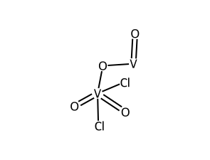 [O]=[V][O][V](=[O])(=[O])([Cl])[Cl]